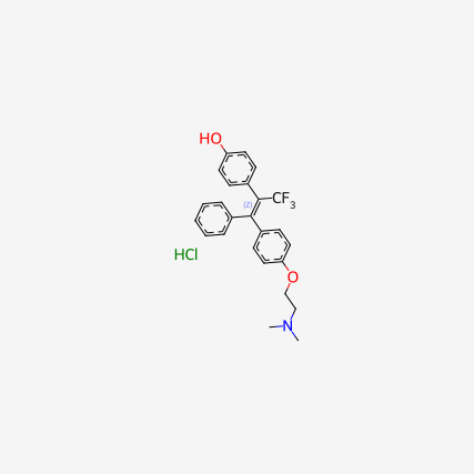 CN(C)CCOc1ccc(/C(=C(/c2ccc(O)cc2)C(F)(F)F)c2ccccc2)cc1.Cl